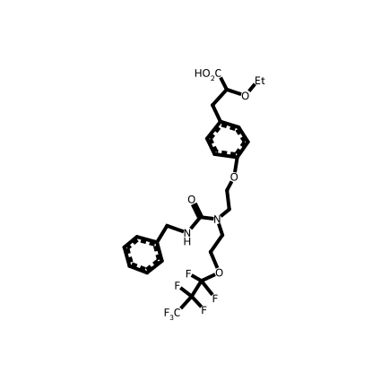 CCOC(Cc1ccc(OCCN(CCOC(F)(F)C(F)(F)C(F)(F)F)C(=O)NCc2ccccc2)cc1)C(=O)O